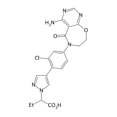 CCC(C(=O)O)n1cc(-c2ccc(N3CCOc4ncnc(N)c4C3=O)cc2Cl)cn1